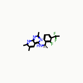 Cc1nc(N[C@H](C)c2cccc(C(C)(F)F)c2F)c2cc(C)c(C)nc2n1